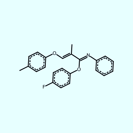 CC(=C\Oc1ccc(C)cc1)/C(=N/c1ccccc1)Oc1ccc(F)cc1